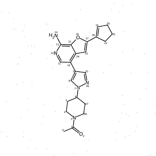 CC(=O)N1CCC(n2cc(-c3cnc(N)c4oc(C5=CCCC5)cc34)cn2)CC1